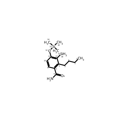 CCCCc1c(C(N)=O)ccc(O[Si](C)(C)C)c1[SiH3]